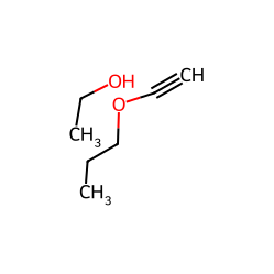 C#COCCC.CCO